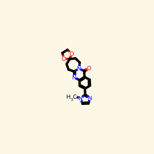 Cn1ccnc1-c1ccc2c(=O)n3c(nc2c1)CCC1(CC3)OCCO1